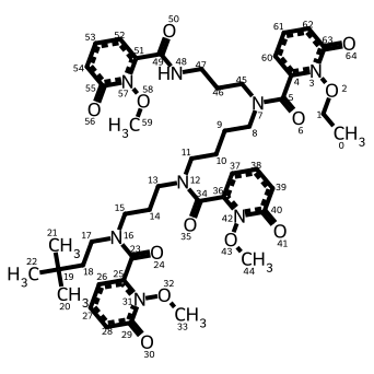 CCOn1c(C(=O)N(CCCCN(CCCN(CCC(C)(C)C)C(=O)c2cccc(=O)n2OC)C(=O)c2cccc(=O)n2OC)CCCNC(=O)c2cccc(=O)n2OC)cccc1=O